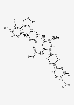 C=CC(=O)Nc1cc(Nc2cc(N3OCC[C@@H]3c3c(F)ccc(F)c3F)ncn2)c(OC)cc1N1CCC(N2CCN(C3CC3)[C@H](C)C2)CC1